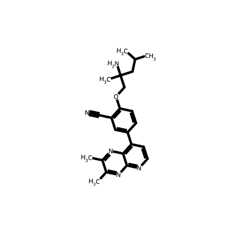 Cc1nc2nccc(-c3ccc(OCC(C)(N)CC(C)C)c(C#N)c3)c2nc1C